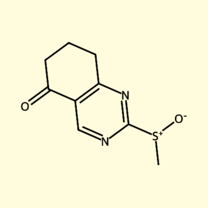 C[S+]([O-])c1ncc2c(n1)CCCC2=O